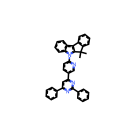 CC1(C)c2ccccc2-c2c1n(-c1ccc(-c3cc(-c4ccccc4)nc(-c4ccccc4)n3)cn1)c1ccccc21